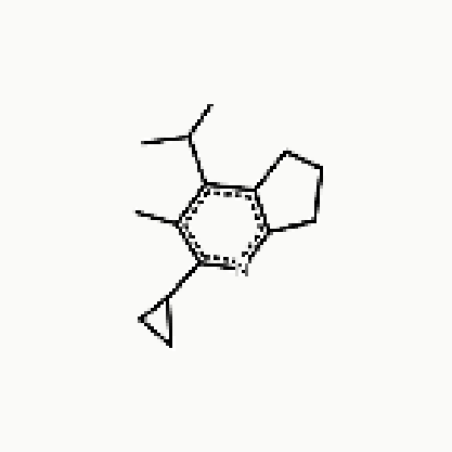 Cc1c(C2CC2)nc2c(c1C(C)C)CCC2